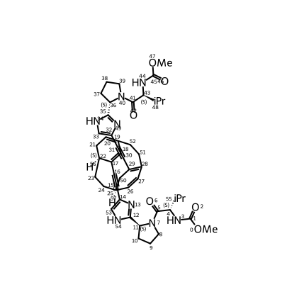 COC(=O)N[C@H](C(=O)N1CCC[C@H]1c1nc(C#CC2=CC3=CC[C@@H]2CC[C@@H]2C=CC(=C(C#Cc4c[nH]c([C@@H]5CCCN5C(=O)[C@@H](NC(=O)OC)C(C)C)n4)C2)CC3)c[nH]1)C(C)C